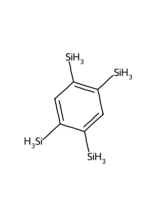 [SiH3]c1cc([SiH3])c([SiH3])cc1[SiH3]